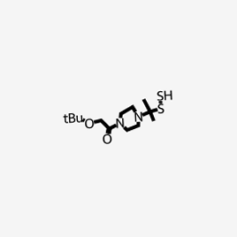 CC(C)(C)OCC(=O)N1CCN(C(C)(C)SS)CC1